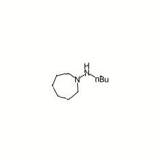 CCCCNN1CCCCCC1